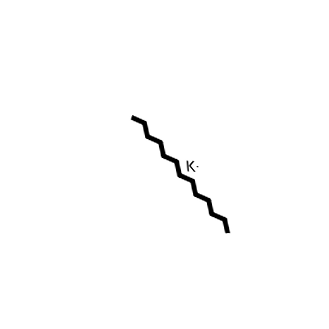 CCCCCCCCCCCCC.[K]